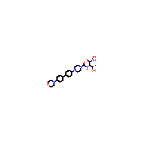 C[C@H](O)[C@@H](NC(=O)N1CCN(c2ccc(-c3ccc(N4CCOCC4)cc3)cc2)CC1)C(=O)NO